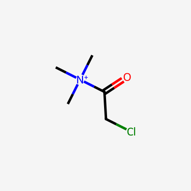 C[N+](C)(C)C(=O)CCl